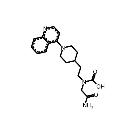 NC(=O)CN(CCC1CCN(c2ccnc3ccccc23)CC1)C(=O)O